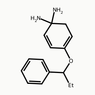 CCC(OC1=CCC(N)(N)C=C1)c1ccccc1